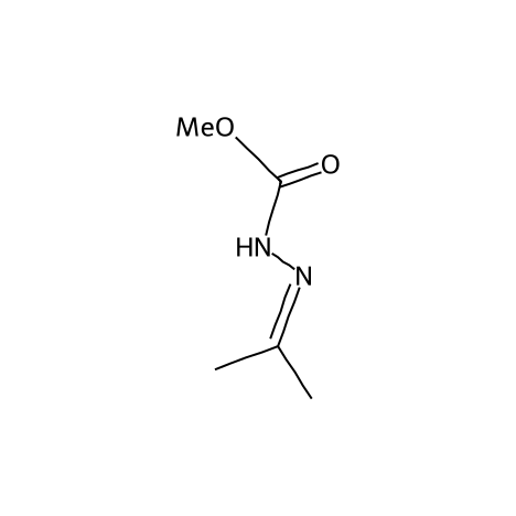 COC(=O)NN=C(C)C